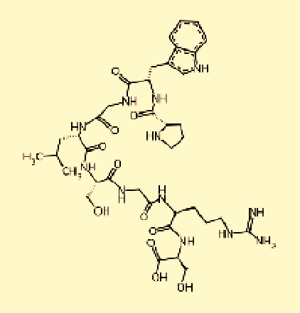 CC(C)C[C@H](NC(=O)CNC(=O)[C@H](Cc1c[nH]c2ccccc12)NC(=O)[C@@H]1CCCN1)C(=O)N[C@@H](CO)C(=O)NCC(=O)N[C@@H](CCCNC(=N)N)C(=O)N[C@@H](CO)C(=O)O